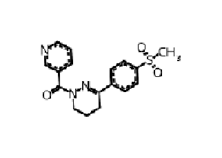 CS(=O)(=O)c1ccc(C2=NN(C(=O)c3cccnc3)CCC2)cc1